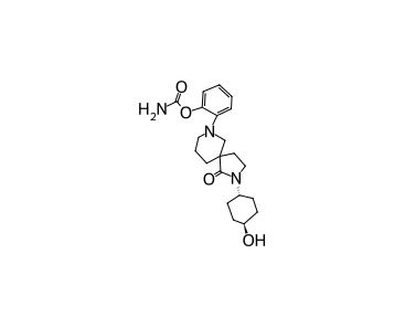 NC(=O)Oc1ccccc1N1CCCC2(CCN([C@H]3CC[C@H](O)CC3)C2=O)C1